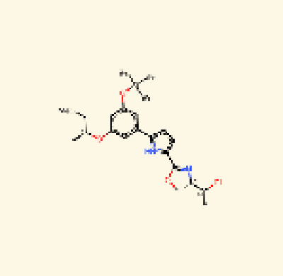 COC[C@H](C)Oc1cc(O[Si](C(C)C)(C(C)C)C(C)C)cc(-c2ccc(C3=N[C@H]([C@H](C)O)CO3)[nH]2)c1